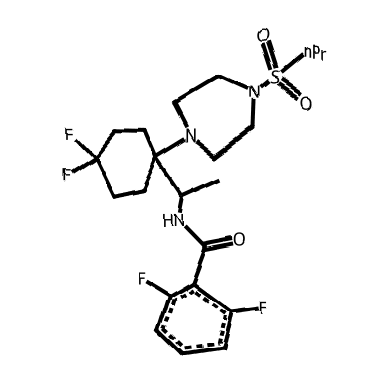 CCCS(=O)(=O)N1CCN(C2(C(C)NC(=O)c3c(F)cccc3F)CCC(F)(F)CC2)CC1